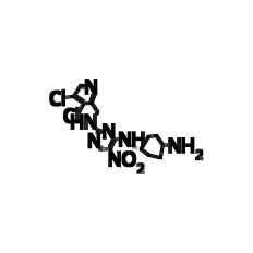 N[C@H]1CC[C@H](CNc2nc(NCc3cncc(Cl)c3Cl)ncc2[N+](=O)[O-])CC1